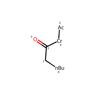 CCCCC[C](=O)[Cr][C](C)=O